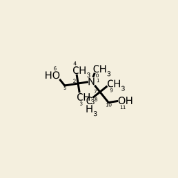 CN(C(C)(C)CO)C(C)(C)CO